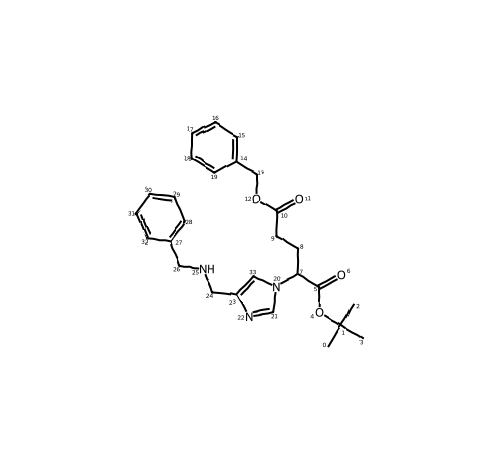 CC(C)(C)OC(=O)C(CCC(=O)OCc1ccccc1)n1cnc(CNCc2ccccc2)c1